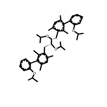 Cc1cc(C)c(-c2ccccc2OC(C)C)c(C)c1C[C@@H](OC(C)C)[C@@H](Cc1c(C)cc(C)c(-c2ccccc2OC(C)C)c1C)OC(C)C